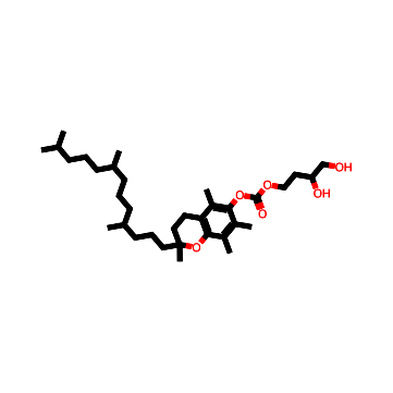 Cc1c(C)c2c(c(C)c1OC(=O)OCCC(O)CO)CCC(C)(CCCC(C)CCCC(C)CCCC(C)C)O2